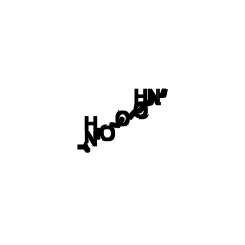 CCNCCOCCOCCOCCNC(C)C